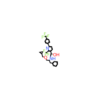 O[C@H](CNC(COCC1CC1)Cc1ccccc1)c1ccc(-c2ccc(C(F)(F)F)cc2)nc1C(F)(F)F